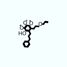 C=CCOCCCc1c(CCCc2ccccc2)c(O)c(OC)c(OC)c1OC